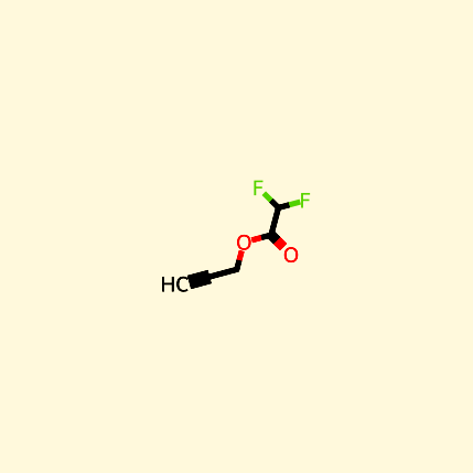 C#CCOC(=O)C(F)F